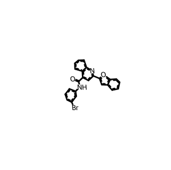 O=C(Nc1cccc(Br)c1)c1cc(-c2cc3ccccc3o2)nc2ccccc12